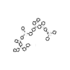 Cc1ccc2sc3c(N(c4ccc5ccccc5c4)c4ccc5c(c4)c4ccccc4n5-c4ccc(-c5nc(-c6ccccc6)nc(-c6cccc(-c7ccc(N(c8ccc9c(c8)c8ccccc8n9-c8ccc(-c9nc(-c%10ccccc%10)nc(-c%10ccccc%10)n9)cc8)c8cccc9c8sc8ccccc89)cc7)c6)n5)cc4)cccc3c2c1